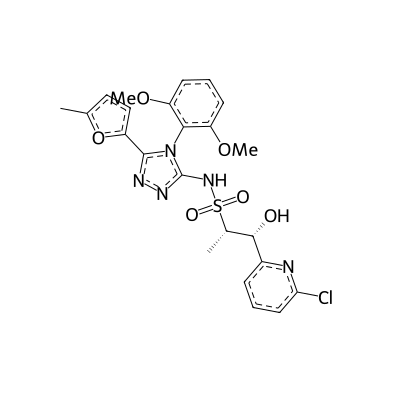 COc1cccc(OC)c1-n1c(NS(=O)(=O)[C@@H](C)[C@H](O)c2cccc(Cl)n2)nnc1-c1ccc(C)o1